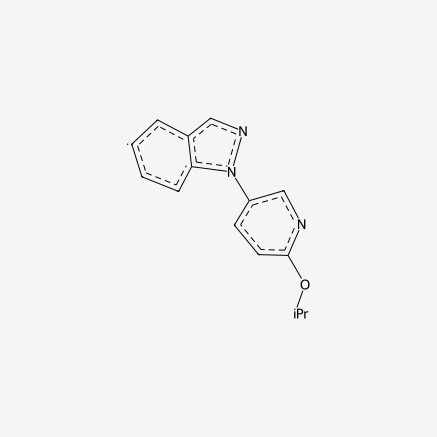 CC(C)Oc1ccc(-n2ncc3c[c]ccc32)cn1